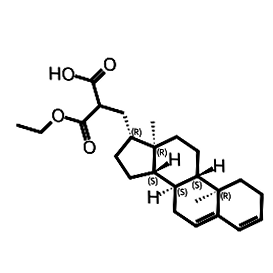 CCOC(=O)C(C[C@H]1CC[C@H]2[C@@H]3CC=C4C=CCC[C@]4(C)[C@H]3CC[C@]12C)C(=O)O